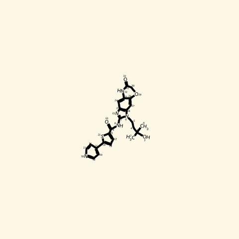 CC(C)(O)CCn1c(NC(=O)c2ccc(-c3ccncc3)s2)nc2cc3c(cc21)OCC(=O)N3